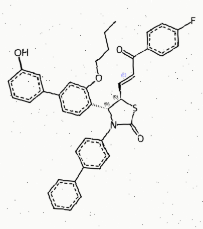 CCCCOc1cc(-c2cccc(O)c2)ccc1[C@@H]1[C@@H](/C=C/C(=O)c2ccc(F)cc2)SC(=O)N1c1ccc(-c2ccccc2)cc1